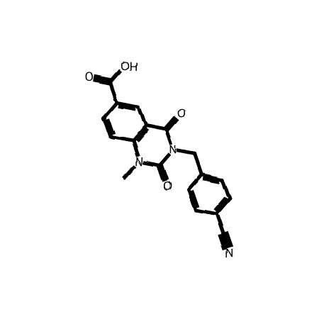 Cn1c(=O)n(Cc2ccc(C#N)cc2)c(=O)c2cc(C(=O)O)ccc21